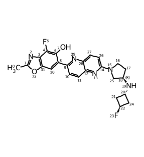 Cc1nc2c(F)c(O)c(-c3ccc4nc(N5CC[C@@H](N[C@H]6C[C@H](F)C6)C5)ccc4n3)cc2o1